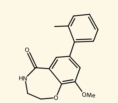 COc1cc(-c2ccccc2C)cc2c1OCCNC2=O